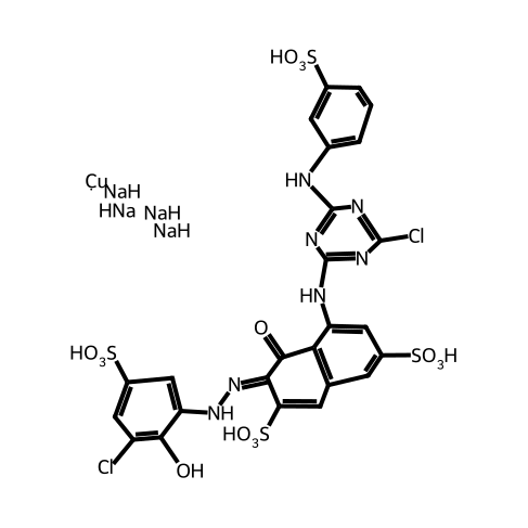 O=C1C(=NNc2cc(S(=O)(=O)O)cc(Cl)c2O)C(S(=O)(=O)O)=Cc2cc(S(=O)(=O)O)cc(Nc3nc(Cl)nc(Nc4cccc(S(=O)(=O)O)c4)n3)c21.[Cu].[NaH].[NaH].[NaH].[NaH]